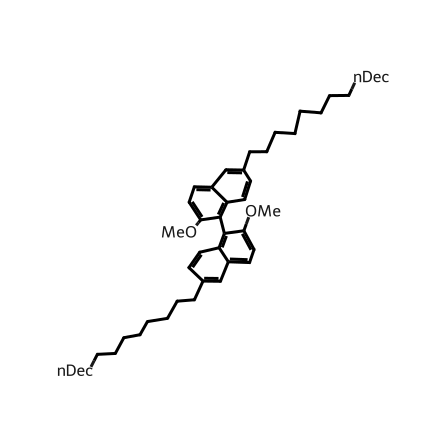 CCCCCCCCCCCCCCCCCCc1ccc2c(-c3c(OC)ccc4cc(CCCCCCCCCCCCCCCCCC)ccc34)c(OC)ccc2c1